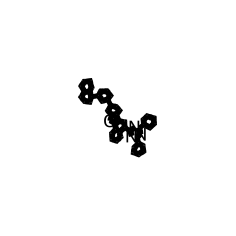 c1ccc(-c2nc(-c3ccccc3)nc(-c3cc4c5ccc(-c6cccc(-c7cccc8ccccc78)c6)cc5oc4c4ccccc34)n2)cc1